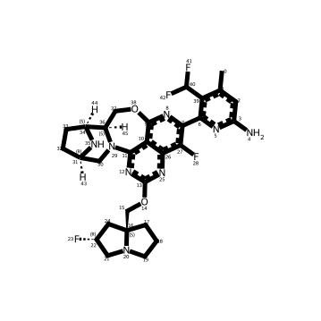 Cc1cc(N)nc(-c2nc3c4c(nc(OC[C@@]56CCCN5C[C@H](F)C6)nc4c2F)N2C[C@H]4CC[C@H](N4)[C@H]2CO3)c1C(F)F